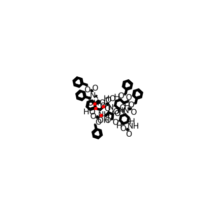 O=C(N[C@H]1[C@@H](O[C@H]2[C@H](O[C@@H]3O[C@H](CO)[C@@H](O[C@H]4O[C@@H](CN(C(=O)OCc5ccccc5)C(O)c5ccccc5)C[C@H](O)[C@H]4NC(=O)OCc4ccccc4)[C@H]3O)[C@H]3OC(=O)N[C@@H]3C[C@@H]2NC(=O)OCc2ccccc2)O[C@@H]2COC(c3ccccc3)O[C@H]2[C@@H]1O)OCc1ccccc1